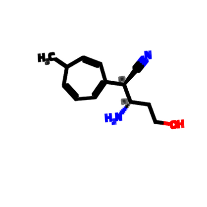 CC1C=CC=C([C@@H](C#N)[C@@H](N)CCO)C=C1